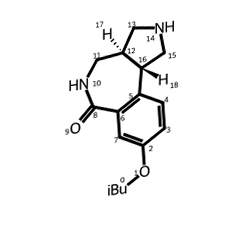 CCC(C)Oc1ccc2c(c1)C(=O)NC[C@H]1CNC[C@H]21